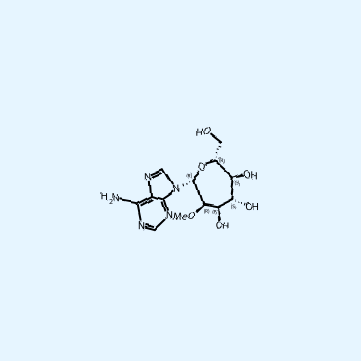 CO[C@@H]1[C@H](O)[C@@H](O)[C@H](O)[C@@H](CO)O[C@H]1n1cnc2c(N)ncnc21